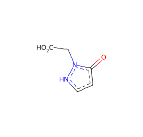 O=C(O)Cn1[nH]ccc1=O